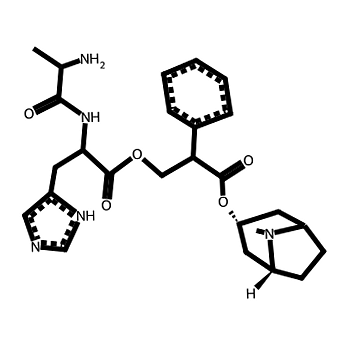 CC(N)C(=O)NC(Cc1cnc[nH]1)C(=O)OCC(C(=O)O[C@@H]1CC2CC[C@H](C1)N2C)c1ccccc1